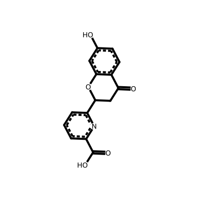 O=C(O)c1cccc(C2CC(=O)c3ccc(O)cc3O2)n1